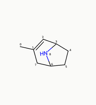 CC1=CC2CCC(C1)N2